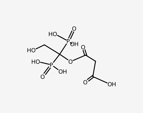 O=C(O)CC(=O)OC(CO)(P(=O)(O)O)P(=O)(O)O